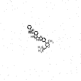 CC1COC(CN(C)C)CN1c1ccc2nc(-c3n[nH]c4c(NS(=O)(=O)c5ccccc5)cccc34)[nH]c2c1